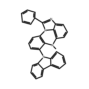 CN1c2c(cccc2-n2c3ccccc3c3ccccc32)-n2c(-c3ccccc3)nc3cccc1c32